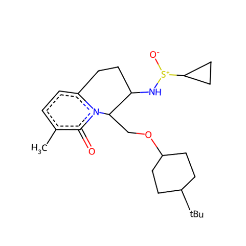 Cc1ccc2n(c1=O)C(COC1CCC(C(C)(C)C)CC1)C(N[S+]([O-])C1CC1)CC2